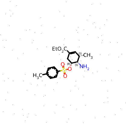 CCOC(=O)C1=C[C@H](C)[C@H](N)[C@H](OS(=O)(=O)c2ccc(C)cc2)C1